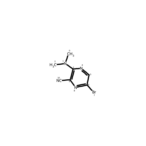 CN(C)c1ncc(Br)nc1C#N